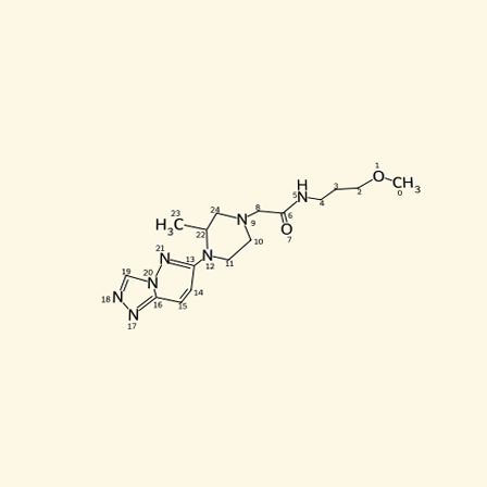 COCCCNC(=O)CN1CCN(c2ccc3nncn3n2)C(C)C1